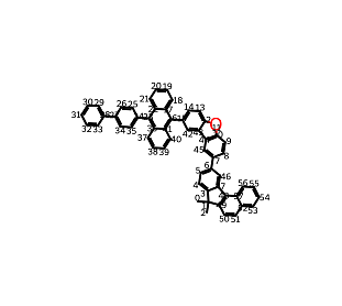 CC1(C)c2ccc(-c3ccc4oc5ccc(-c6c7ccccc7c(-c7ccc(-c8ccccc8)cc7)c7ccccc67)cc5c4c3)cc2-c2c1ccc1ccccc21